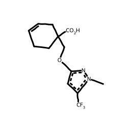 Cn1nc(OCC2(C(=O)O)CC=CCC2)cc1C(F)(F)F